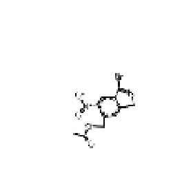 CC(=O)OCc1cc2c(cc1[N+](=O)[O-])C(Br)=NC2